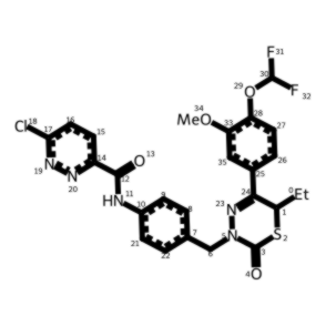 CCC1SC(=O)N(Cc2ccc(NC(=O)c3ccc(Cl)nn3)cc2)N=C1c1ccc(OC(F)F)c(OC)c1